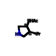 CC(=O)N[C@@H]1CNC[C@@H]1C(C)C